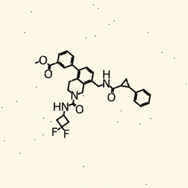 COC(=O)c1cccc(-c2ccc(CNC(=O)C3CC3c3ccccc3)c3c2CCN(C(=O)NC2CC(F)(F)C2)C3)c1